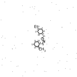 CCc1ccc(CO/N=[C]\c2ccccc2C)cc1